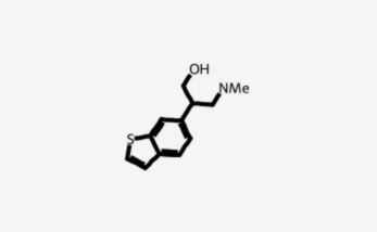 CNCC(CO)c1ccc2ccsc2c1